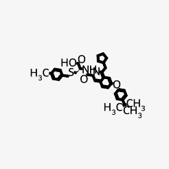 Cc1ccc(CSC[C@@H](NC(=O)c2cc3ccc(Oc4ccc(C(C)(C)C)cc4)cc3c(CC3CCCC3)n2)C(=O)O)cc1